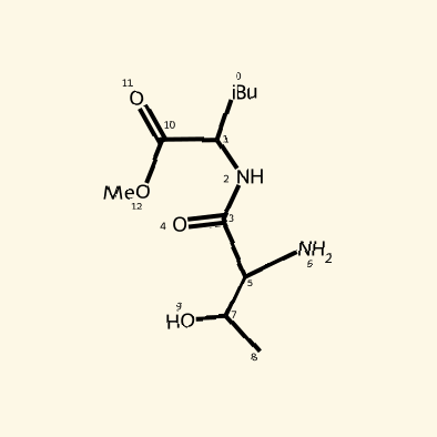 CCC(C)C(NC(=O)C(N)C(C)O)C(=O)OC